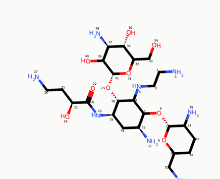 NCCNC1C(O[C@H]2OC(CN)CCC2N)[C@@H](N)C[C@@H](NC(=O)[C@@H](O)CCN)[C@@H]1O[C@H]1OC(CO)[C@@H](O)[C@H](N)C1O